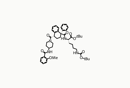 COc1ccccc1C(=O)NC1CCN(C(=O)[C@H]2CC[C@@](C(=O)N[C@@H](CCCCNC(=O)OC(C)(C)C)C(=O)OC(C)(C)C)(c3ccccc3)c3ccccc32)CC1